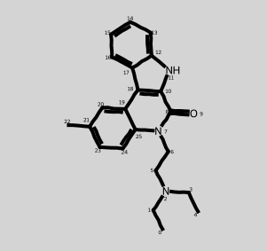 CCN(CC)CCn1c(=O)c2[nH]c3ccccc3c2c2cc(C)ccc21